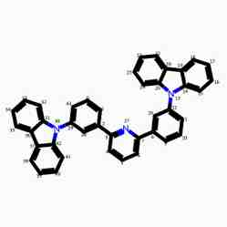 c1cc(-c2cccc(-c3cccc(-n4c5ccccc5c5ccccc54)c3)n2)cc(-n2c3ccccc3c3ccccc32)c1